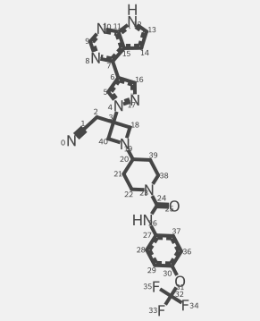 N#CCC1(n2cc(-c3ncnc4[nH]ccc34)cn2)CN(C2CCN(C(=O)Nc3ccc(OC(F)(F)F)cc3)CC2)C1